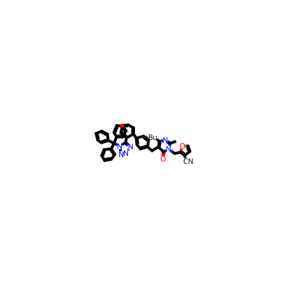 CCCCc1nc(C)n(Cc2occc2C#N)c(=O)c1Cc1ccc(-c2ccccc2-c2nnnn2C(c2ccccc2)(c2ccccc2)c2ccccc2)cc1